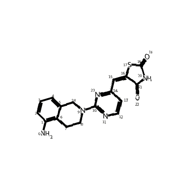 Nc1cccc2c1CCN(c1nccc(C=C3SC(=O)NC3=O)n1)C2